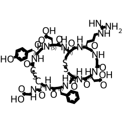 N=C(N)NCCC[C@@H]1NC(=O)[C@@H]2CSSC[C@H](NC(=O)[C@H](CC(=O)O)NC(=O)CNC1=O)C(=O)N[C@@H](Cc1ccccc1)C(=O)N[C@H](C(=O)NCC(=O)O)CSCC(=O)N[C@H](Cc1ccc(O)cc1)C(=O)N[C@@H](CC(=O)O)C(=O)N2